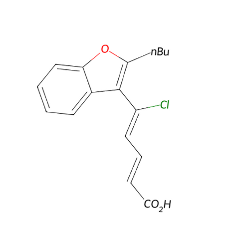 CCCCc1oc2ccccc2c1C(Cl)=CC=CC(=O)O